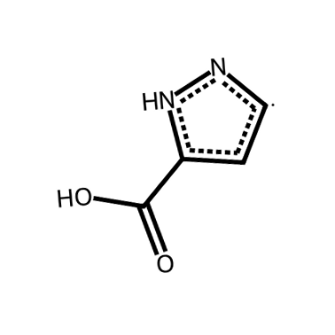 O=C(O)c1c[c]n[nH]1